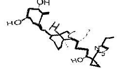 C=C1/C(=C\C=C2/CCC[C@]3(C)[C@@H]([C@H](C)/C=C/[C@@H](O)C4(c5nc(CC)cs5)CC4)CC[C@@H]23)C[C@@H](O)C[C@@H]1O